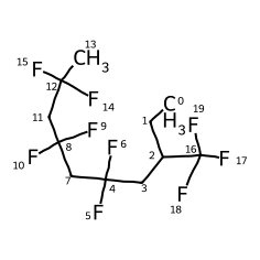 CCC(CC(F)(F)CC(F)(F)CC(C)(F)F)C(F)(F)F